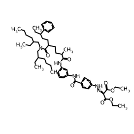 CCCCC(CC)CN(CC(CC)CCCC)C(=O)C(CCC(C)C(=O)Nc1cccc(NC(=O)c2ccc(NN=C(C(=O)OCC)C(=O)OCC)cc2)c1)CCC(CC)c1ccccc1